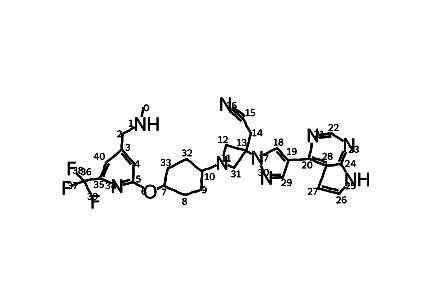 CNCc1cc(OC2CCC(N3CC(CC#N)(n4cc(-c5ncnc6[nH]ccc56)cn4)C3)CC2)nc(C(F)(F)F)c1